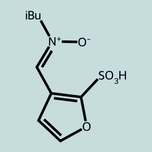 CCC(C)[N+]([O-])=Cc1ccoc1S(=O)(=O)O